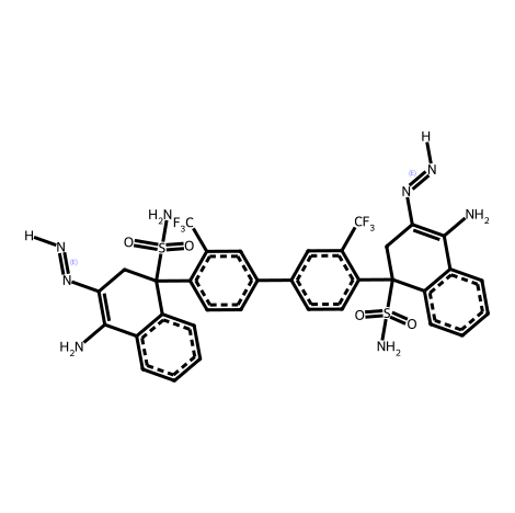 [H]/N=N/C1=C(N)c2ccccc2C(c2ccc(-c3ccc(C4(S(N)(=O)=O)CC(/N=N/[H])=C(N)c5ccccc54)c(C(F)(F)F)c3)cc2C(F)(F)F)(S(N)(=O)=O)C1